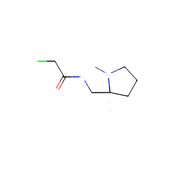 CC(C)(C)[C@@]1(CNC(=O)CCl)CCCN1C(=O)O